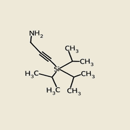 CC(C)[Si](C#CCN)(C(C)C)C(C)C